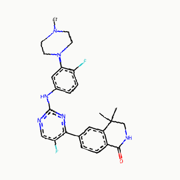 CCN1CCN(c2cc(Nc3ncc(F)c(-c4ccc5c(c4)C(C)(C)CNC5=O)n3)ccc2F)CC1